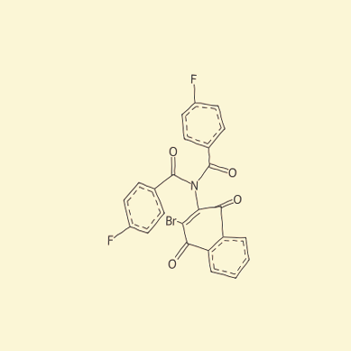 O=C1C(Br)=C(N(C(=O)c2ccc(F)cc2)C(=O)c2ccc(F)cc2)C(=O)c2ccccc21